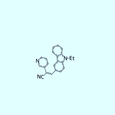 CCn1c2ccccc2c2cc(C=C(C#N)c3cccnc3)ccc21